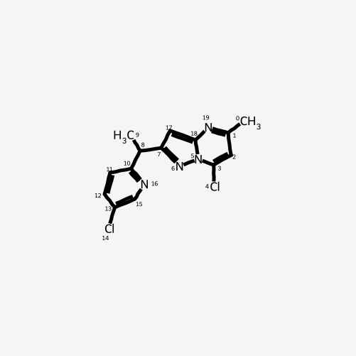 Cc1cc(Cl)n2nc(C(C)c3ccc(Cl)cn3)cc2n1